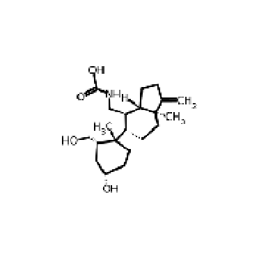 C=C1CC[C@H]2[C@H](CNC(=O)O)[C@@H]([C@]3(C)CC[C@H](O)C[C@@H]3CO)CC[C@]12C